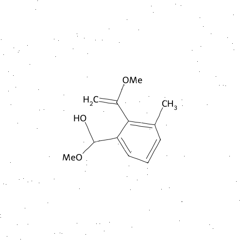 C=C(OC)c1c(C)cccc1C(O)OC